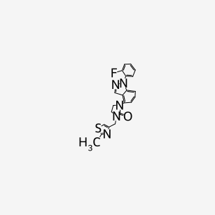 Cc1nc(CN2CCN(c3cccc4c3cnn4-c3ccccc3F)C2=O)cs1